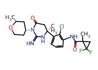 C[C@@H]1C[C@H](N2C(=N)N[C@](C)(c3cccc(NC(=O)C4(C)CC4(F)F)c3Cl)CC2=O)CCO1